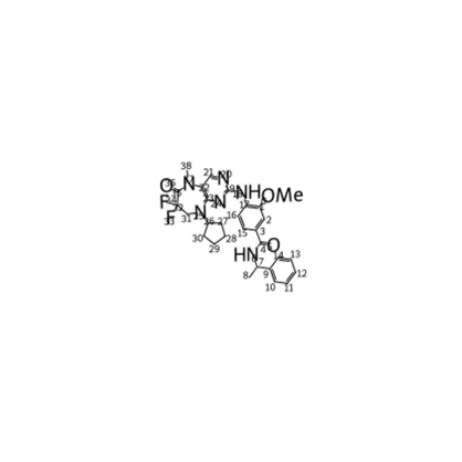 COc1cc(C(=O)NC(C)c2ccccc2)ccc1Nc1ncc2c(n1)N(C1CCCC1)CC(F)(F)C(=O)N2C